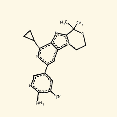 CC1(C)OCCn2c1nc1c(C3CC3)nc(-c3cnc(N)c(C#N)c3)cc12